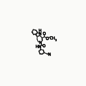 CCOC(=O)C1=CN(C(=O)Nc2cccc(C#N)c2)CCc2c1[nH]c1ccccc21